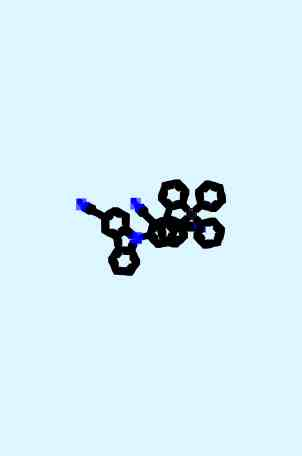 N#Cc1ccc2c(c1)c1ccccc1n2-c1ccc(C#N)c(-c2ccccc2[Si](c2ccccc2)(c2ccccc2)c2ccccc2)c1C#N